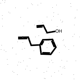 C=CCO.C=CCc1ccccc1